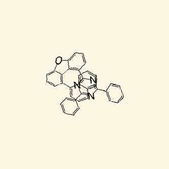 c1ccc(-c2nc(-c3ccccc3)nc(-c3cccc4oc5cccc(-c6cccc7ccccc67)c5c34)n2)cc1